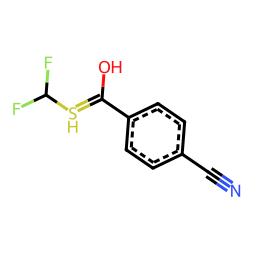 N#Cc1ccc(C(O)=[SH]C(F)F)cc1